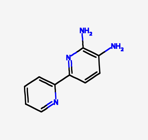 Nc1ccc(-c2ccccn2)nc1N